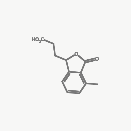 Cc1cccc2c1C(=O)OC2CCC(=O)O